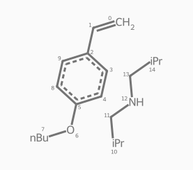 C=Cc1ccc(OCCCC)cc1.CC(C)CNCC(C)C